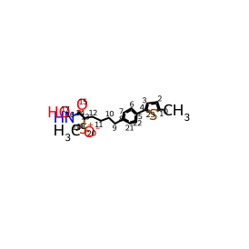 Cc1ccc(-c2ccc(CCCCC(C(=O)NO)[S+](C)[O-])cc2)s1